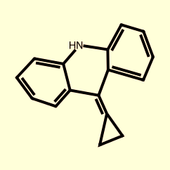 c1ccc2c(c1)Nc1ccccc1C2=C1CC1